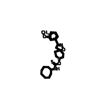 COc1cccc(C2=NOC3(CCN(OC(=S)NC4CCCCCCC4)CC3)C2)c1